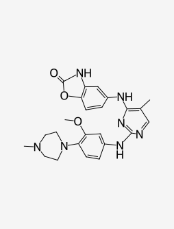 COc1cc(Nc2ncc(C)c(Nc3ccc4oc(=O)[nH]c4c3)n2)ccc1N1CCN(C)CC1